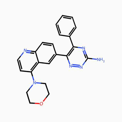 Nc1nnc(-c2ccc3nccc(N4CCOCC4)c3c2)c(-c2ccccc2)n1